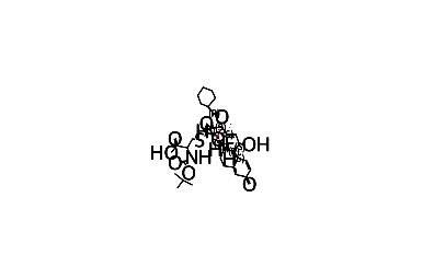 CC(C)(C)OC(=O)NC(CSCC(=O)[C@@]12O[C@H](C3CCCCC3)O[C@@H]1C[C@H]1[C@@H]3CCC4=CC(=O)C=C[C@]4(C)[C@@]3(F)[C@@H](O)C[C@@]12C)C(=O)O